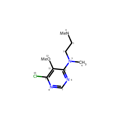 CNCCN(C)c1ncnc(Cl)c1OC